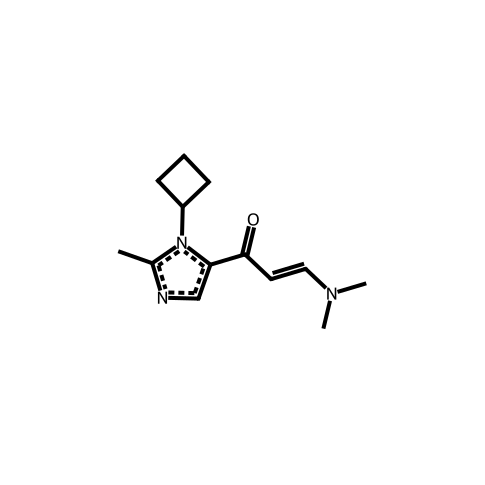 Cc1ncc(C(=O)C=CN(C)C)n1C1CCC1